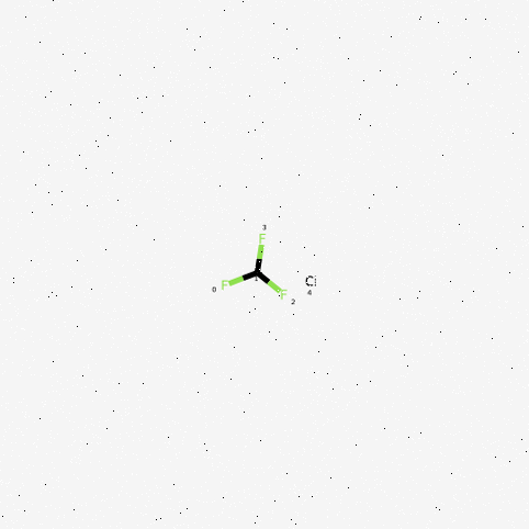 F[C](F)F.[C]